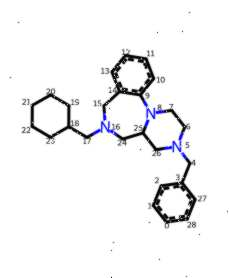 c1ccc(CN2CCN3c4ccccc4CN(CC4CCCCC4)CC3C2)cc1